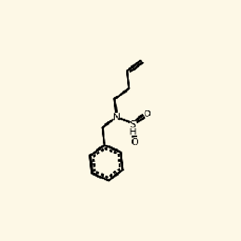 C=CCCN(Cc1ccccc1)[SH](=O)=O